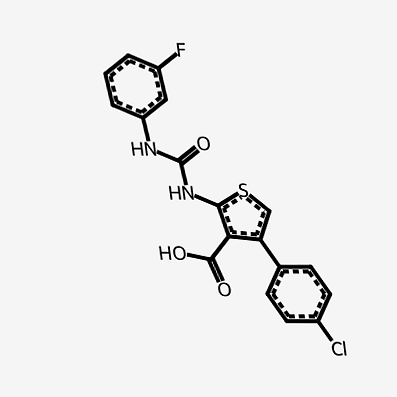 O=C(Nc1cccc(F)c1)Nc1scc(-c2ccc(Cl)cc2)c1C(=O)O